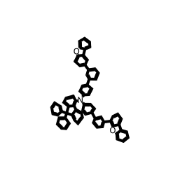 c1ccc(C2(c3ccccc3)c3ccccc3-c3c(N(c4ccc(-c5cccc(-c6ccc7oc8ccccc8c7c6)c5)cc4)c4ccc(-c5cccc(-c6cccc7c6oc6ccccc67)c5)cc4)cccc32)cc1